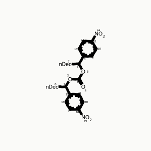 CCCCCCCCCCC(OC(=O)OC(CCCCCCCCCC)c1ccc([N+](=O)[O-])cc1)c1ccc([N+](=O)[O-])cc1